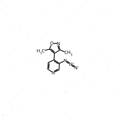 Cc1noc(C)c1-c1ccncc1N=[N+]=[N-]